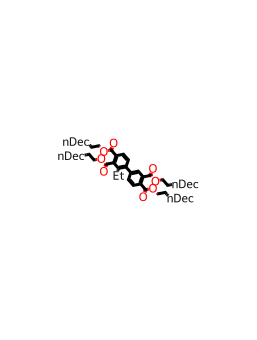 CCCCCCCCCCCCOC(=O)c1ccc(-c2ccc(C(=O)OCCCCCCCCCCCC)c(C(=O)OCCCCCCCCCCCC)c2CC)cc1C(=O)OCCCCCCCCCCCC